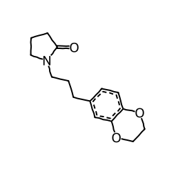 O=C1CCCN1CCCc1ccc2c(c1)OCCO2